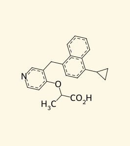 CC(Oc1ccncc1Cc1ccc(C2CC2)c2ccccc12)C(=O)O